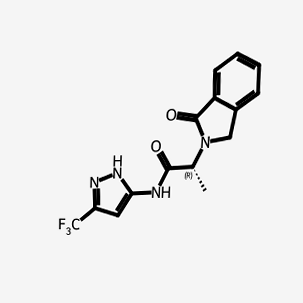 C[C@H](C(=O)Nc1cc(C(F)(F)F)n[nH]1)N1Cc2ccccc2C1=O